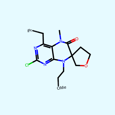 COCCN1c2nc(Cl)nc(CC(C)C)c2N(C)C(=O)C12CCOC2